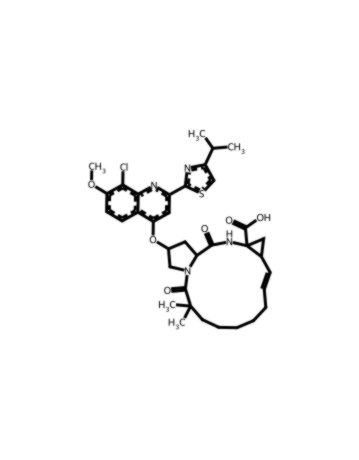 COc1ccc2c(OC3CC4C(=O)NC5(C(=O)O)CC5/C=C/CCCCCC(C)(C)C(=O)N4C3)cc(-c3nc(C(C)C)cs3)nc2c1Cl